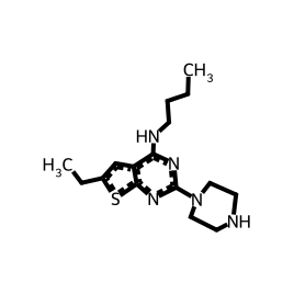 CCCCNc1nc(N2CCNCC2)nc2sc(CC)cc12